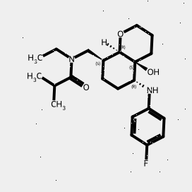 CCN(C[C@@H]1CC[C@@H](Nc2ccc(F)cc2)[C@@]2(O)CCCO[C@H]12)C(=O)C(C)C